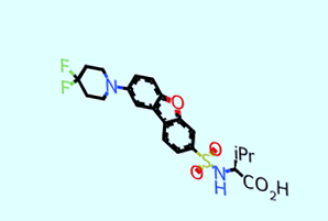 CC(C)[C@H](NS(=O)(=O)c1ccc2c(c1)oc1ccc(N3CCC(F)(F)CC3)cc12)C(=O)O